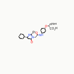 CCCCCCC(Oc1ccc(NC(=O)Cn2c(CC)nc(-c3ccccc3)cc2=O)cc1)C(=O)O